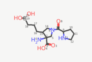 NC1(C(=O)O)CN(C(=O)C2CCCN2)CC1CCCB(O)O